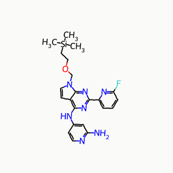 C[Si](C)(C)CCOCn1ccc2c(Nc3ccnc(N)c3)nc(-c3cccc(F)n3)nc21